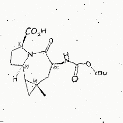 CC(C)(C)OC(=O)N[C@H]1C[C@]2(C)CC2[C@H]2CC[C@@H](C(=O)O)N2C1=O